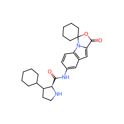 O=C1OC2(CCCCC2)n2c1cc1cc(NC(=O)[C@H]3NCCC3C3CCCCC3)ccc12